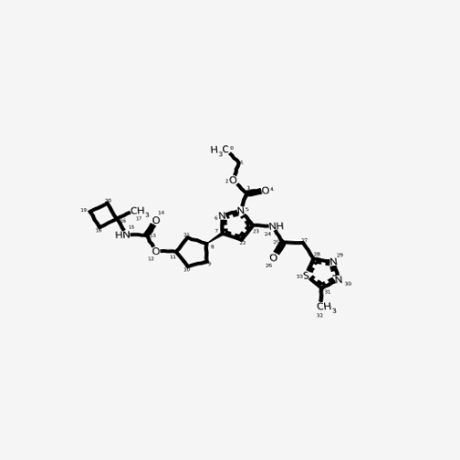 CCOC(=O)n1nc([C@H]2CCC(OC(=O)NC3(C)CCC3)C2)cc1NC(=O)Cc1nnc(C)s1